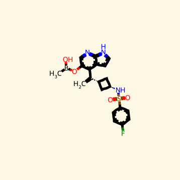 C=C(c1c(OB(C)O)cnc2[nH]ccc12)[C@H]1C[C@@H](NS(=O)(=O)c2ccc(F)cc2)C1